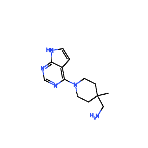 CC1(CN)CCN(c2ncnc3[nH]ccc23)CC1